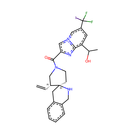 C=C[C@@H]1CN(C(=O)c2cn3cc(C(F)(F)I)cc(C(C)O)c3n2)CC[C@]12Cc1ccccc1CN2